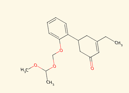 CCC1=CC(=O)CC(c2ccccc2OCOC(C)OC)C1